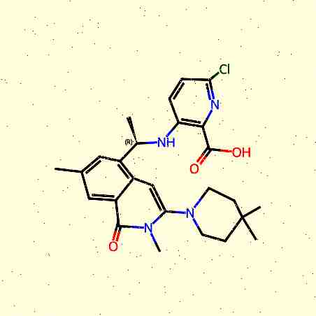 Cc1cc([C@@H](C)Nc2ccc(Cl)nc2C(=O)O)c2cc(N3CCC(C)(C)CC3)n(C)c(=O)c2c1